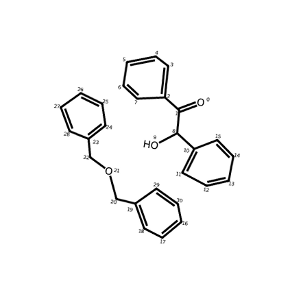 O=C(c1ccccc1)C(O)c1ccccc1.c1ccc(COCc2ccccc2)cc1